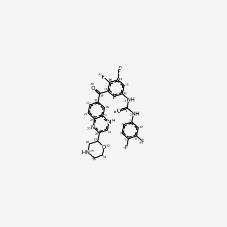 O=C(Nc1ccc(F)c(F)c1)Nc1cc(F)c(F)c(C(=O)c2ccc3nc(C4CNCCO4)cnc3c2)c1